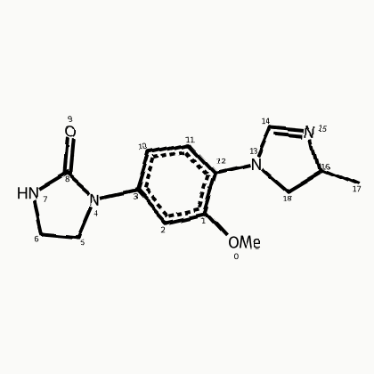 COc1cc(N2CCNC2=O)ccc1N1C=NC(C)C1